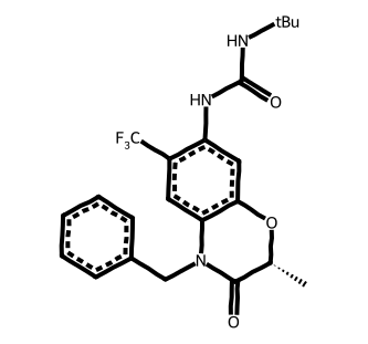 C[C@H]1Oc2cc(NC(=O)NC(C)(C)C)c(C(F)(F)F)cc2N(Cc2ccccc2)C1=O